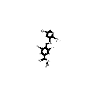 Cc1cnc(C)c(OCc2c(F)cc(C(=O)OC(C)(C)C)cc2F)c1